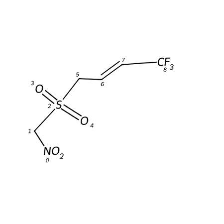 O=[N+]([O-])CS(=O)(=O)CC=CC(F)(F)F